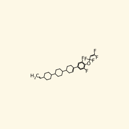 C=CC1CCC(C2CCC(C3CC=C(c4cc(F)c(OC(F)(F)C=C(F)F)c(F)c4)CC3)CC2)CC1